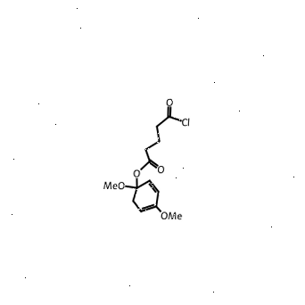 COC1=CCC(OC)(OC(=O)CCCC(=O)Cl)C=C1